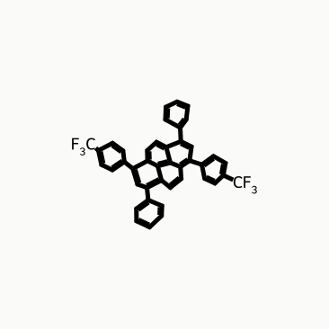 FC(F)(F)c1ccc(-c2cc(-c3ccccc3)c3ccc4c(-c5ccc(C(F)(F)F)cc5)cc(-c5ccccc5)c5ccc2c3c54)cc1